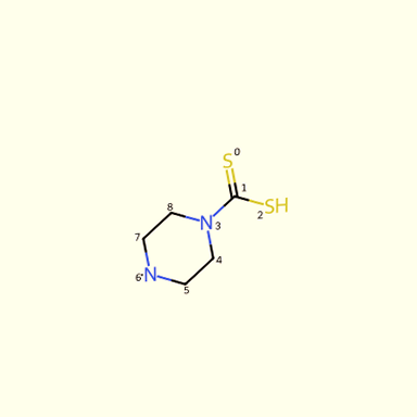 S=C(S)N1CC[N]CC1